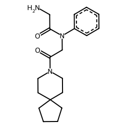 NCC(=O)N(CC(=O)N1CCC2(CCCC2)CC1)c1ccccc1